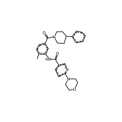 Cc1ccc(C(=O)N2CCC(c3ccccc3)CC2)cc1NC(=O)c1ccc(N2CCOCC2)nc1